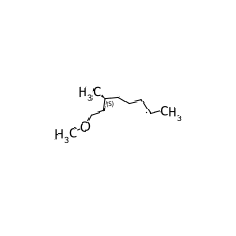 C[CH]CCC[C@H](C)CCOC